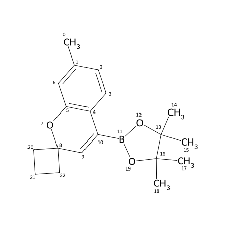 Cc1ccc2c(c1)OC1(C=C2B2OC(C)(C)C(C)(C)O2)CCC1